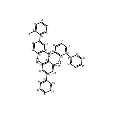 Cc1ccccc1-c1ccc2c(c1)B1c3cccc(-c4ccccc4)c3Oc3cc(-c4ccccc4)cc(c31)O2